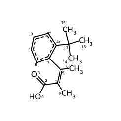 CC(C(=O)O)=C(C)c1ccccc1C(C)(C)C